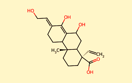 C=C[C@]1(C(=O)O)CCC[C@]2(C)C3CC/C(=C\CO)C(O)=C3C(O)CC21